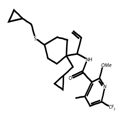 C=CC(NC(=O)c1c(C)cc(C(F)(F)F)nc1OC)C1(CC2CC2)CCC(SCC2CC2)CC1